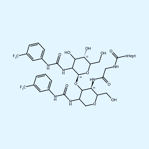 CCCCCCCC(=O)NCC(=O)N[C@H]1C(CO)OCC(NC(=O)Nc2cccc(C(F)(F)F)c2)C1O[C@@H]1OC(CO)[C@@H](O)C(O)C1NC(=O)Nc1cccc(C(F)(F)F)c1